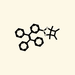 CC1C(C)C2(C)OB(c3cccc(C(=C(c4ccccc4)c4ccccc4)c4ccccc4)c3)OC12C